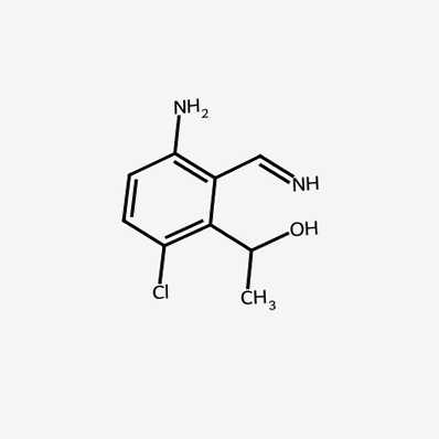 CC(O)c1c(Cl)ccc(N)c1C=N